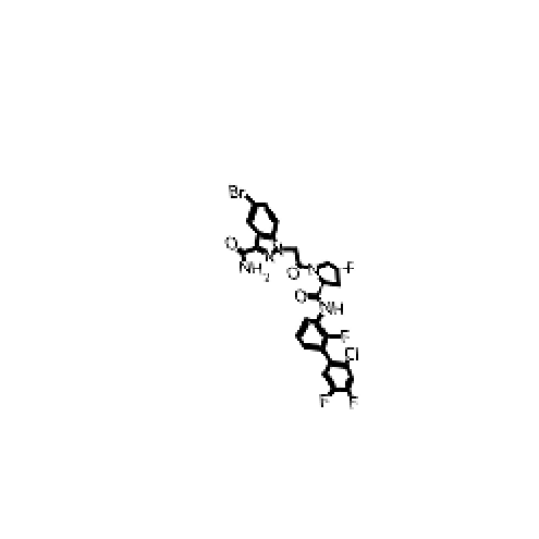 NC(=O)c1nn(CC(=O)N2C[C@H](F)C[C@H]2C(=O)Nc2cccc(-c3cc(F)c(F)cc3Cl)c2F)c2ccc(Br)cc12